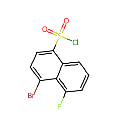 O=S(=O)(Cl)c1ccc(Br)c2c(F)cccc12